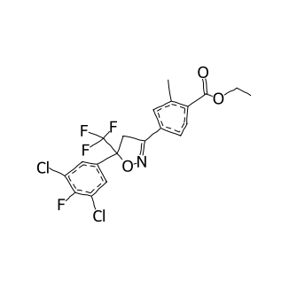 CCOC(=O)c1ccc(C2=NOC(c3cc(Cl)c(F)c(Cl)c3)(C(F)(F)F)C2)cc1C